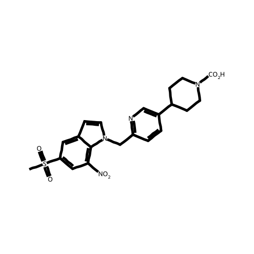 CS(=O)(=O)c1cc([N+](=O)[O-])c2c(ccn2Cc2ccc(C3CCN(C(=O)O)CC3)cn2)c1